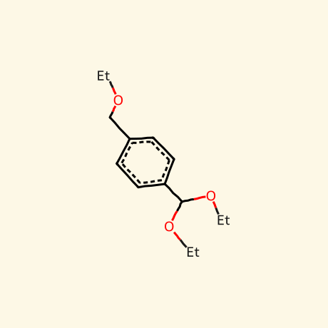 CCOCc1ccc(C(OCC)OCC)cc1